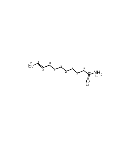 CC/C=C/CCCCCCCC(N)=O